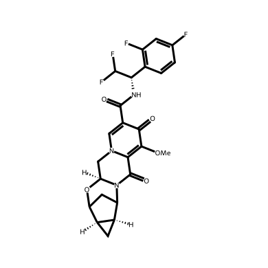 COc1c2n(cc(C(=O)N[C@@H](c3ccc(F)cc3F)C(F)F)c1=O)C[C@@H]1OC3CC([C@H]4C[C@@H]34)N1C2=O